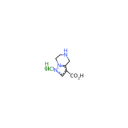 Cl.Cl.O=C(O)c1cnn2c1CNCC2